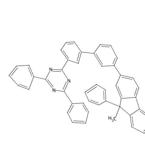 CC1(c2ccccc2)c2ccccc2-c2ccc(-c3cccc(-c4cccc(-c5nc(-c6ccccc6)nc(-c6ccccc6)n5)c4)c3)cc21